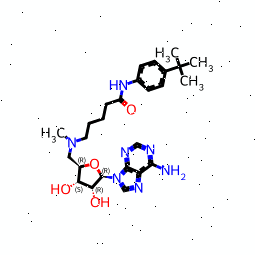 CN(CCCCC(=O)Nc1ccc(C(C)(C)C)cc1)C[C@H]1O[C@@H](n2cnc3c(N)ncnc32)[C@H](O)[C@@H]1O